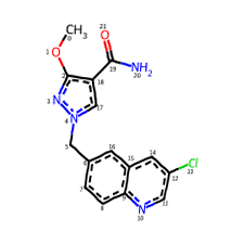 COc1nn(Cc2ccc3ncc(Cl)cc3c2)cc1C(N)=O